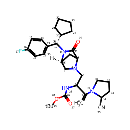 C=C(C(CN1C[C@@H]2CC1C(=O)N2[C@H](c1ccc(F)cc1)C1CCCC1)NC(=O)OC(C)(C)C)N1CCCC1C#N